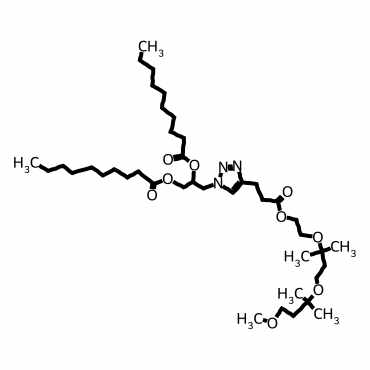 CCCCCCCCCC(=O)OCC(Cn1cc(CCC(=O)OCCOC(C)(C)CCOC(C)(C)CCOC)nn1)OC(=O)CCCCCCCCC